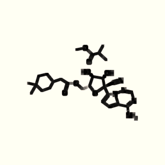 CC1(C)CCC(CC(=O)OC[C@H]2O[C@@](C#N)(c3ccc4c(N)ncnn34)[C@H](O)[C@@H]2O)CC1.COC(=O)C(C)C